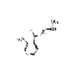 O=C(/N=C/NO)c1ccccc1[N+](=O)[O-]